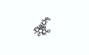 Cc1ncccc1C(=O)c1ncc(Cl)cc1NS(=O)(=O)c1ccc(C(C)(C)C)cc1